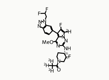 [2H]c1c(F)c(-c2ccc3nnn(CC(F)F)c3c2)c2c(OC)nc(N[C@H]3CCN(C(=O)C([2H])([2H])[2H])C[C@H]3F)nn12